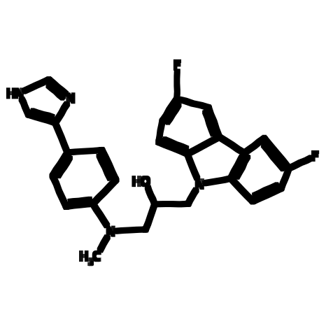 CN(CC(O)Cn1c2ccc(F)cc2c2cc(F)ccc21)c1ccc(-c2c[nH]cn2)cc1